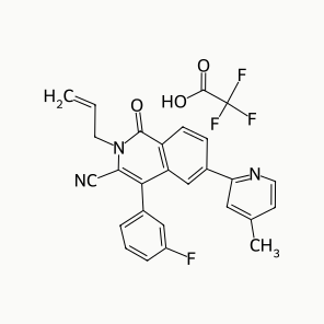 C=CCn1c(C#N)c(-c2cccc(F)c2)c2cc(-c3cc(C)ccn3)ccc2c1=O.O=C(O)C(F)(F)F